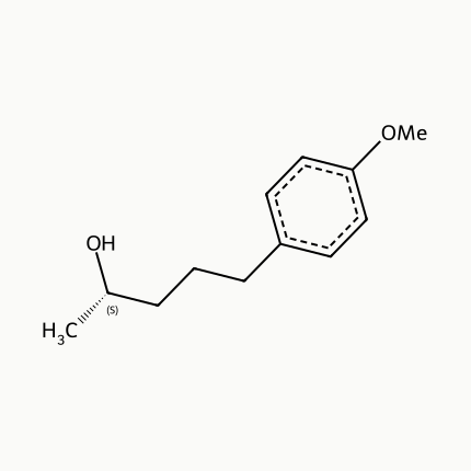 COc1ccc(CCC[C@H](C)O)cc1